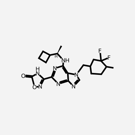 CC1CCC(Cn2cnc3nc(-c4noc(=O)[nH]4)nc(N[C@H](C)C4CCC4)c32)CC1(F)F